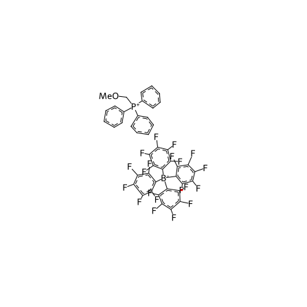 COC[P+](c1ccccc1)(c1ccccc1)c1ccccc1.Fc1c(F)c(F)c([B-](c2c(F)c(F)c(F)c(F)c2F)(c2c(F)c(F)c(F)c(F)c2F)c2c(F)c(F)c(F)c(F)c2F)c(F)c1F